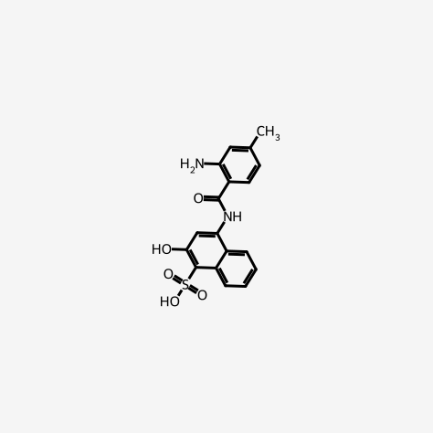 Cc1ccc(C(=O)Nc2cc(O)c(S(=O)(=O)O)c3ccccc23)c(N)c1